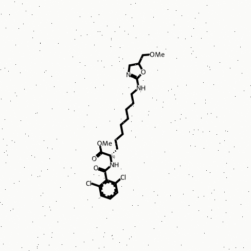 COCC1CN=C(NCCCCCCCC[C@H](NC(=O)c2c(Cl)cccc2Cl)C(=O)OC)O1